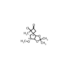 CO[C@@H]1C[C@@]2(CC(=O)[C@@]2(C)Cl)C2OC(C)(C)OC21